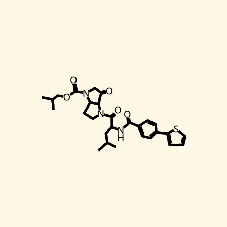 CC(C)COC(=O)N1CC(=O)C2C1CCN2C(=O)C(CC(C)C)NC(=O)c1ccc(-c2cccs2)cc1